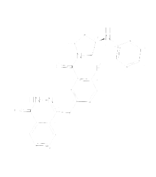 O=C(c1cc(Cc2n[nH]c(=O)c3ccccc23)ccc1F)N1CC[C@@H](Nc2ccccc2)C1